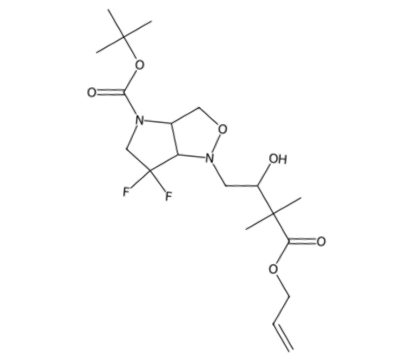 C=CCOC(=O)C(C)(C)C(O)CN1OCC2C1C(F)(F)CN2C(=O)OC(C)(C)C